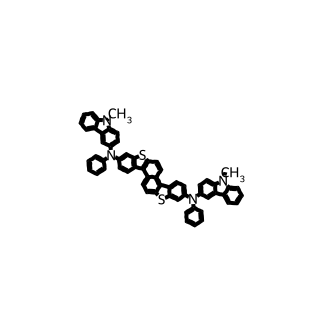 Cn1c2ccccc2c2cc(N(c3ccccc3)c3ccc4c(c3)sc3ccc5c(ccc6sc7cc(N(c8ccccc8)c8ccc9c(c8)c8ccccc8n9C)ccc7c65)c34)ccc21